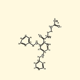 CC(=O)OCCNC(=O)c1ncc(OCc2ccccc2)cc1OCc1ccccc1